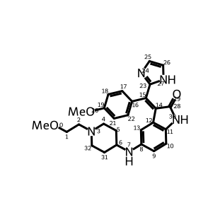 COCCN1CCC(Nc2ccc3c(c2)/C(=C(\c2ccc(OC)cc2)c2ncc[nH]2)C(=O)N3)CC1